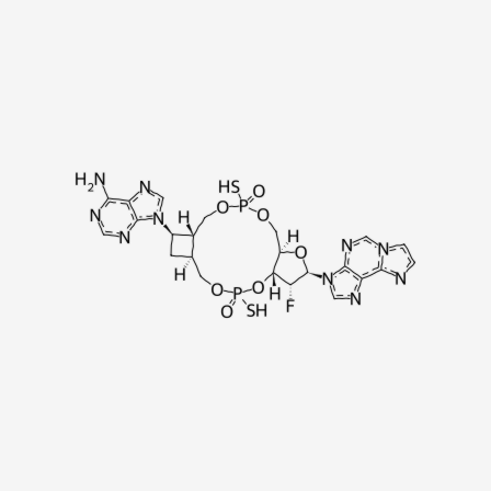 Nc1ncnc2c1ncn2[C@@H]1C[C@@H]2COP(=O)(S)O[C@H]3[C@@H](F)[C@H](n4cnc5c4ncn4ccnc54)O[C@@H]3COP(=O)(S)OC[C@H]21